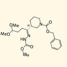 COC(CCC(=NNC(=O)OC(C)(C)C)[C@@H]1CCCN(C(=O)OCc2ccccc2)C1)OC